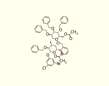 CC(=O)OC[C@H]1O[C@H](Oc2cc(Cl)cc(Br)c2)[C@@H](OCc2ccccc2)[C@@H](C[C@H]2O[C@H](COC(C)=O)[C@@H](OCc3ccccc3)[C@H](OCc3ccccc3)[C@@H]2OCc2ccccc2)[C@@H]1OCc1ccccc1